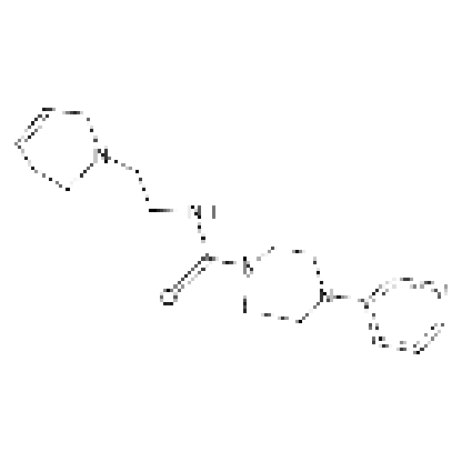 O=C(NCCN1CC=CCC1)N1CCN(c2ccccc2)CC1